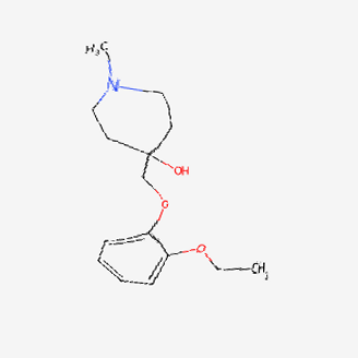 CCOc1ccccc1OCC1(O)CCN(C)CC1